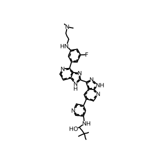 CN(C)CCNc1cc(F)cc(-c2nccc3[nH]c(-c4n[nH]c5ncc(-c6cncc(NC(O)C(C)(C)C)c6)cc45)nc23)c1